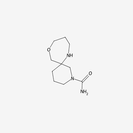 NC(=O)N1CCCC2(COCCCN2)C1